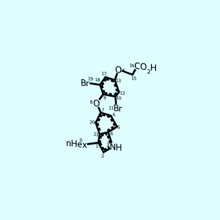 CCCCCCc1c[nH]c2ccc(Oc3c(Br)cc(OCC(=O)O)cc3Br)cc12